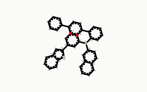 c1ccc(-c2ccc(-c3ccccc3N(c3cccc(-c4cc5ccccc5o4)c3)c3ccc4ccccc4c3)cc2)cc1